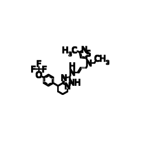 CCN(C/C=C/NC1N=C2C(c3ccc(OC(F)(F)F)cc3)CCCN2N1)c1cc(C)ns1